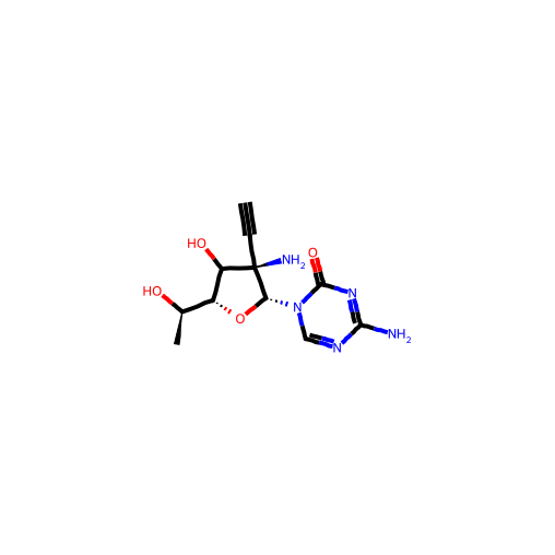 C#C[C@@]1(N)C(O)[C@@H]([C@@H](C)O)O[C@H]1n1cnc(N)nc1=O